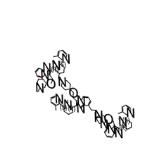 Cc1cccnc1[C@@H]1CCC[C@H](c2nc3c(CCN4CCN(c5cccc6nc([C@H]7CCC[C@@H](c8ncccc8C)N7C)c(CO)n56)CC4)cccn3c2COC2CCN(CC3CC[C@@H](c4ncccc4C)N(C)[C@H]3c3nc4ccccn4c3COC3CCCN(C)C3)CC2)N1C